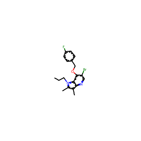 CCCn1c(C)c(C)c2ncc(Br)c(OCc3ccc(F)cc3)c21